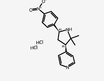 CC1(C)N[C@H](c2ccc([N+](=O)[O-])cc2)C[C@@H]1c1ccncc1.Cl.Cl